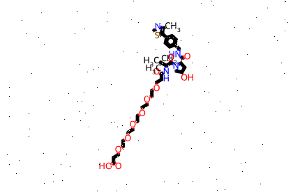 Cc1ncsc1-c1ccc(CNC(=O)[C@@H]2C[C@@H](O)CN2C(=O)C(NC(=O)CCOCCOCCOCCOCCOCCOCCC(=O)O)C(C)(C)C)cc1